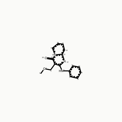 COCc1c(Nc2ccccc2)nc2ccccn2c1=O